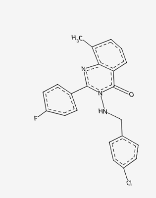 Cc1cccc2c(=O)n(NCc3ccc(Cl)cc3)c(-c3ccc(F)cc3)nc12